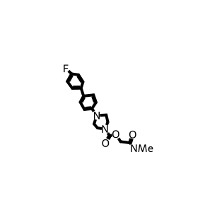 CNC(=O)COC(=O)N1CCN(c2ccc(-c3ccc(F)cc3)cc2)CC1